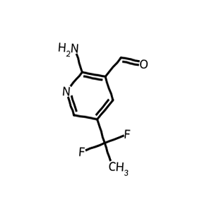 CC(F)(F)c1cnc(N)c(C=O)c1